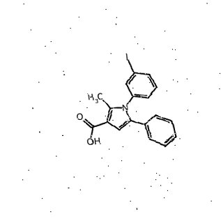 Cc1c(C(=O)O)cc(-c2ccccc2)n1-c1cccc(I)c1